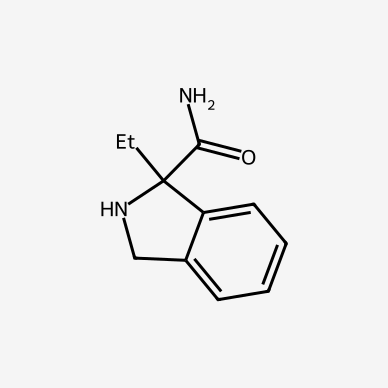 CCC1(C(N)=O)NCc2ccccc21